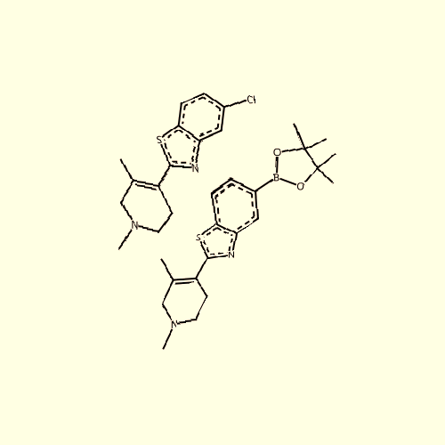 CC1=C(c2nc3cc(B4OC(C)(C)C(C)(C)O4)ccc3s2)CCN(C)C1.CC1=C(c2nc3cc(Cl)ccc3s2)CCN(C)C1